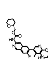 Cc1c(-c2cc3cc(NC(=O)OC[C@H]4CCCCO4)ncc3cc2F)cnc2c1NCCO2